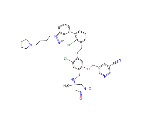 CC(CN=O)(CN=O)NCc1cc(Cl)c(OCc2cccc(-c3cccc4c3cnn4CCCCN3CCCC3)c2Br)cc1OCc1cncc(C#N)c1